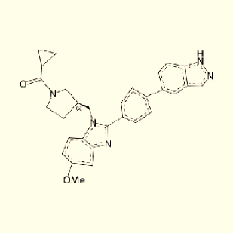 COc1ccc2c(c1)nc(-c1ccc(-c3ccc4[nH]ncc4c3)cc1)n2C[C@H]1CCN(C(=O)C2CC2)C1